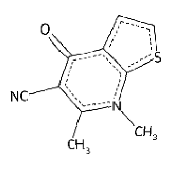 Cc1c(C#N)c(=O)c2ccsc2n1C